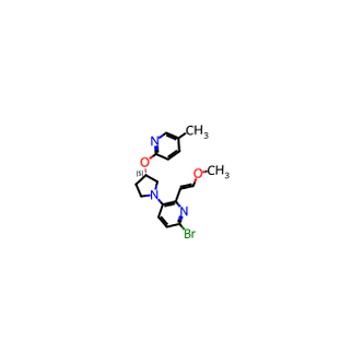 COC=Cc1nc(Br)ccc1N1CC[C@H](Oc2ccc(C)cn2)C1